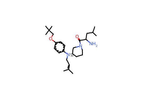 CC(C)=CCN(c1ccc(OCC(C)(C)C)cc1)[C@H]1CCCN(C(=O)C(N)CC(C)C)C1